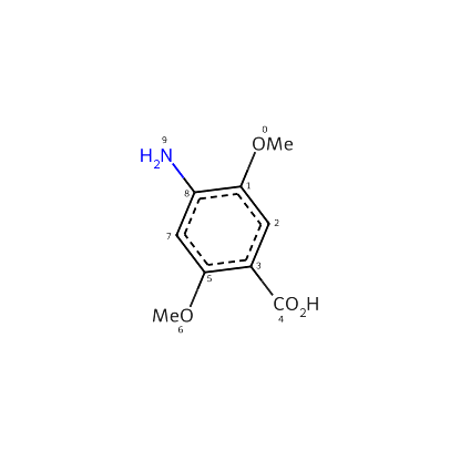 COc1cc(C(=O)O)c(OC)cc1N